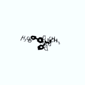 C[S+]([O-])c1cccc(-c2ccc(-n3cc(C4=NC(C)(C)CO4)nc3-c3ccccc3Cl)c(Cl)c2)c1